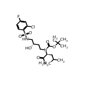 CC(C)C[C@@H](C(N)=O)N(CC[C@H](O)CNS(=O)(=O)c1ccc(F)cc1Cl)C(=O)OC(C)(C)C